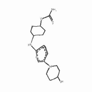 CC(C)C1CCN(c2ccc(NC3CCC(OC(N)=O)CC3)nc2)CC1